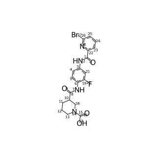 O=C(Nc1ccc(NC(=O)C2CCCN(C(=O)O)C2)c(F)c1)c1cccc(Br)n1